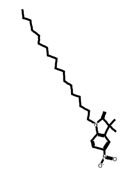 C=C1N(CCCCCCCCCCCCCCCCCC)c2ccc([N+](=O)[O-])cc2C1(C)C